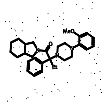 CCC(C(=O)N1CC2CCCCC2C1)(c1ccccc1)N1CCN(c2ccccc2OC)CC1